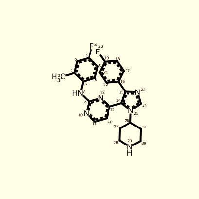 Cc1cc(F)ccc1Nc1nccc(-c2c(-c3ccc(F)cc3)ncn2C2CCNCC2)n1